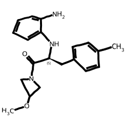 COC1CN(C(=O)[C@H](Cc2ccc(C)cc2)Nc2ccccc2N)C1